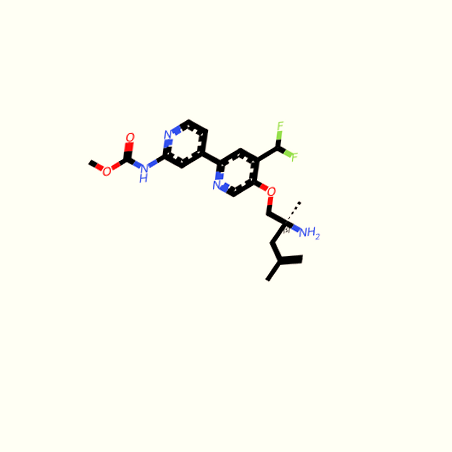 C=C(C)C[C@](C)(N)COc1cnc(-c2ccnc(NC(=O)OC)c2)cc1C(F)F